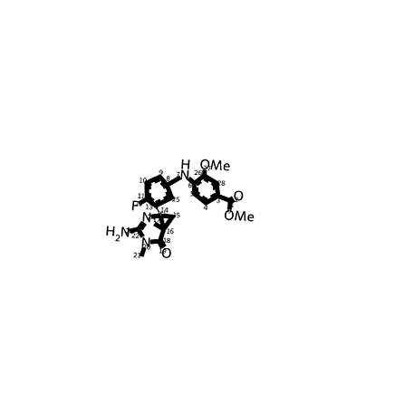 COC(=O)c1ccc(Nc2ccc(F)c([C@]34CC3(C)C(=O)N(C)C(N)=N4)c2)c(OC)c1